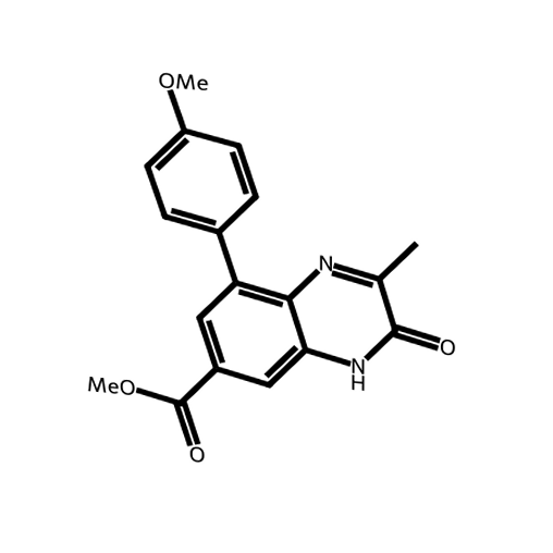 COC(=O)c1cc(-c2ccc(OC)cc2)c2nc(C)c(=O)[nH]c2c1